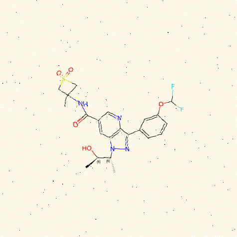 C[C@H]([C@@H](C)O)n1nc(-c2cccc(OC(F)F)c2)c2ncc(C(=O)NC3(C)CS(=O)(=O)C3)cc21